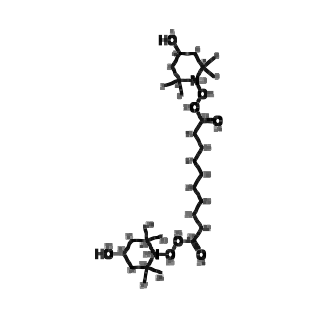 CC1(C)CC(O)CC(C)(C)N1OOC(=O)CCCCCCCCC(=O)OON1C(C)(C)CC(O)CC1(C)C